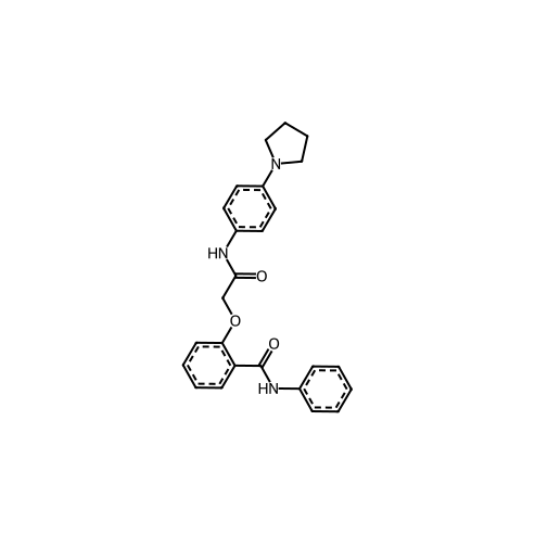 O=C(COc1ccccc1C(=O)Nc1ccccc1)Nc1ccc(N2CCCC2)cc1